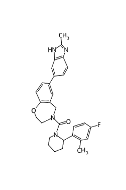 Cc1nc2ccc(-c3ccc4c(c3)CN(C(=O)N3CCCCC3c3ccc(F)cc3C)CCO4)cc2[nH]1